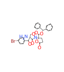 N[C@]1(C(=O)c2ccc(Br)cc2)CON(C2(C(=O)OC(c3ccccc3)c3ccccc3)CCC(=O)O2)C1=O